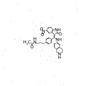 CC(=O)NCCCc1ccc(C(Nc2ccc3c(c2)CCNC3)=C2C(=O)Nc3ccc([N+](=O)[O-])cc32)cc1